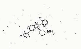 N[C@H]1CCC[C@@H](n2c(-c3ncccc3F)nc3cnc(-c4nc[nH]n4)cc32)C1